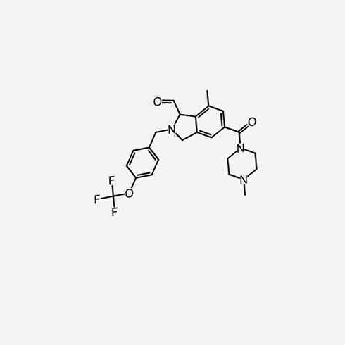 Cc1cc(C(=O)N2CCN(C)CC2)cc2c1C(C=O)N(Cc1ccc(OC(F)(F)F)cc1)C2